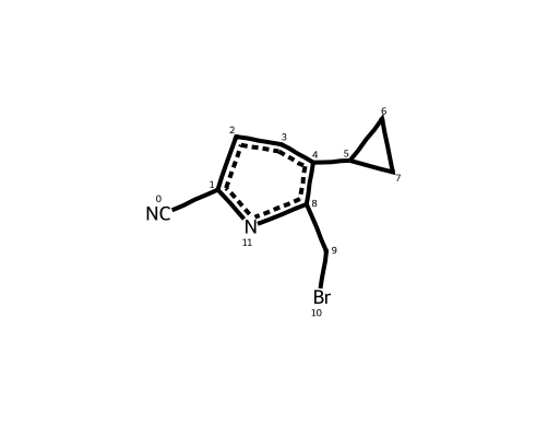 N#Cc1ccc(C2CC2)c(CBr)n1